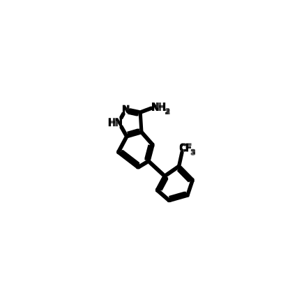 Nc1n[nH]c2ccc(-c3ccccc3C(F)(F)F)cc12